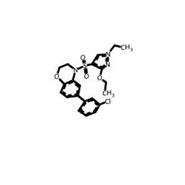 CCOc1nn(CC)cc1S(=O)(=O)N1CCOc2ccc(-c3cccc(Cl)c3)cc21